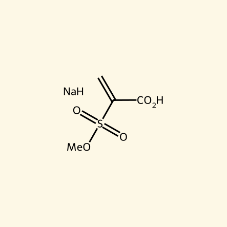 C=C(C(=O)O)S(=O)(=O)OC.[NaH]